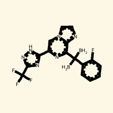 BC(B)(c1ccccc1F)c1nc(-c2nc(C(F)(F)F)n[nH]2)cn2ccnc12